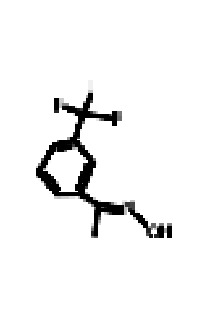 CC(=NO)c1cccc(C(F)(F)F)c1